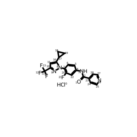 Cl.O=C(Nc1ccc(-n2nc(C(F)(F)F)cc2C2CC2)c(F)c1)c1ccncc1